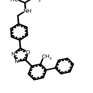 Cc1c(-c2ccccc2)cccc1-c1nnc(-c2ccc(CNC(C)O)cc2)o1